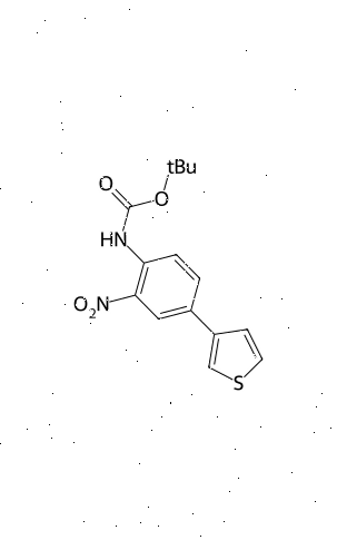 CC(C)(C)OC(=O)Nc1ccc(-c2ccsc2)cc1[N+](=O)[O-]